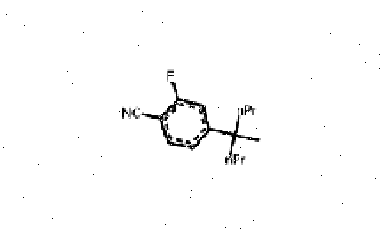 CCCC(C)(CCC)c1ccc(C#N)c(F)c1